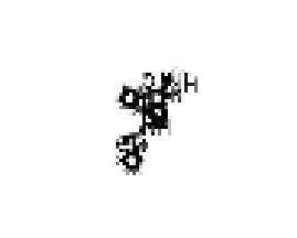 CCCc1[nH]nc2c1c(=O)n(-c1ccccc1)c1nc(NC[C@H]3COc4ccccc4O3)ncc21